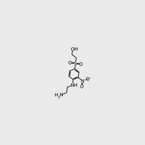 NCCNc1ccc(S(=O)(=O)CCO)cc1[N+](=O)[O-]